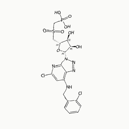 O=P(O)(O)CS(=O)(=O)C[C@H]1O[C@@H](n2nnc3c(NCc4ccccc4Cl)cc(Cl)nc32)[C@H](O)[C@@H]1O